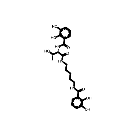 C[C@@H](O)[C@H](NC(=O)c1cccc(O)c1O)C(=O)NCCCCCNC(=O)c1cccc(O)c1O